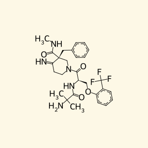 CNC(=O)[C@]1(Cc2ccccc2)CN(C(=O)[C@@H](COc2ccccc2C(F)(F)F)NC(=O)C(C)(C)N)CCC1=N